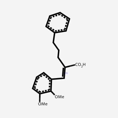 COc1cccc(/C=C(\CCCc2ccccc2)C(=O)O)c1OC